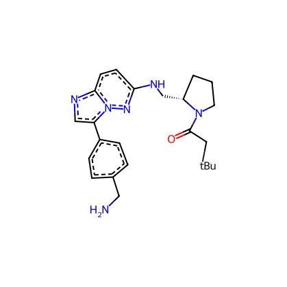 CC(C)(C)CC(=O)N1CCC[C@H]1CNc1ccc2ncc(-c3ccc(CN)cc3)n2n1